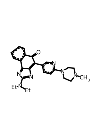 CCN(CC)C1=NC2=C(c3ccc(N4CCN(C)CC4)nc3)C(=O)c3ccccc3C2=N1